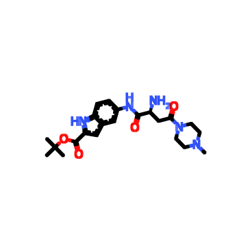 CN1CCN(C(=O)C[C@H](N)C(=O)Nc2ccc3[nH]c(C(=O)OC(C)(C)C)cc3c2)CC1